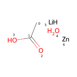 CC(=O)O.O.[LiH].[Zn]